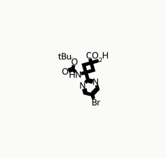 CC(C)(C)OC(=O)NC1(c2ncc(Br)cn2)CC(C)(C(=O)O)C1